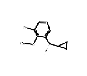 CC(C)c1cccc([C@@H](C)C2CC2)c1OC(C)(C)C